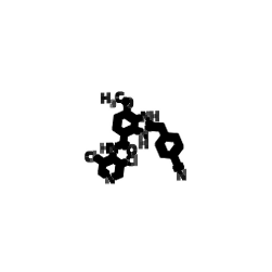 COc1ccc(C(=O)Nc2c(Cl)cncc2Cl)c2c1NC(=Cc1ccc(C#N)cc1)N2